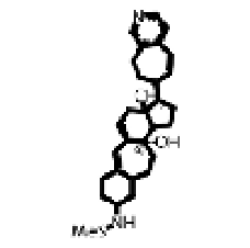 CSNC1CCC2=CC3=CCC4(C)C(C5C=Cc6ccncc6CC5)CCC4[C@@]3(O)CCC2C1